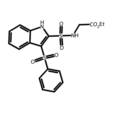 CCOC(=O)CNS(=O)(=O)c1[nH]c2ccccc2c1S(=O)(=O)c1ccccc1